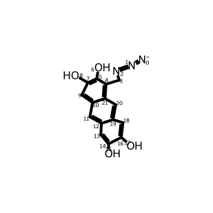 [N-]=[N+]=NCc1c(O)c(O)cc2cc3cc(O)c(O)cc3cc12